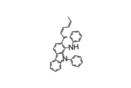 C=C(/C=C\C=C/C)c1ccc2c3ccccc3n(-c3ccccc3)c2c1Nc1ccccc1